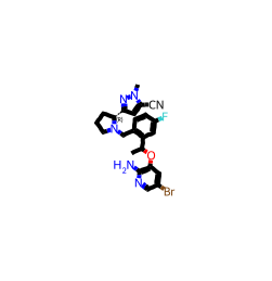 CC(Oc1cc(Br)cnc1N)c1cc(F)ccc1CN1CCC[C@@H]1c1cc(C#N)n(C)n1